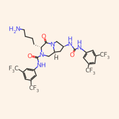 NCCCC[C@@H]1C(=O)N2C[C@@H](NC(=O)Nc3cc(C(F)(F)F)cc(C(F)(F)F)c3)C[C@H]2CN1C(=O)Nc1cc(C(F)(F)F)cc(C(F)(F)F)c1